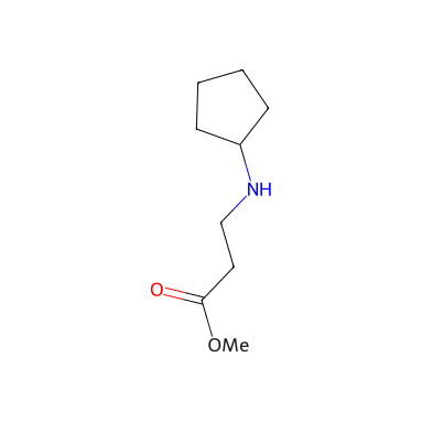 COC(=O)CCNC1CCCC1